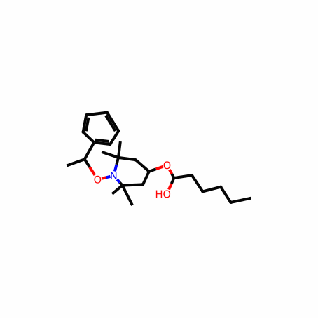 CCCCCC(O)OC1CC(C)(C)N(OC(C)c2ccccc2)C(C)(C)C1